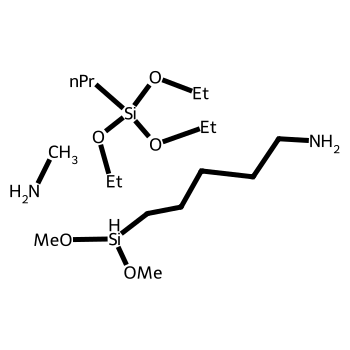 CCC[Si](OCC)(OCC)OCC.CN.CO[SiH](CCCCCN)OC